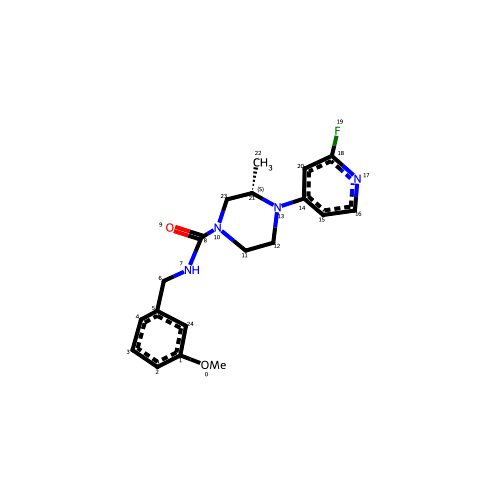 COc1cccc(CNC(=O)N2CCN(c3ccnc(F)c3)[C@@H](C)C2)c1